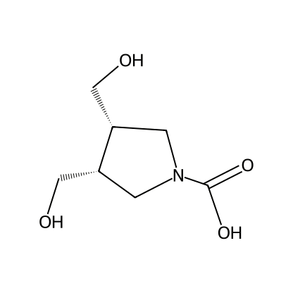 O=C(O)N1C[C@@H](CO)[C@@H](CO)C1